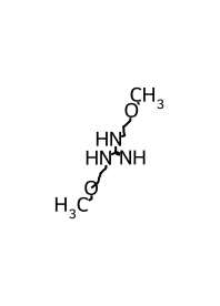 CCOCCCNC(=N)NCCCOCC